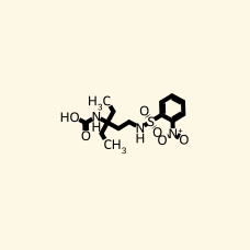 CCC(CC)(CCNS(=O)(=O)c1ccccc1[N+](=O)[O-])NC(=O)O